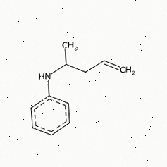 C=CCC(C)Nc1ccccc1